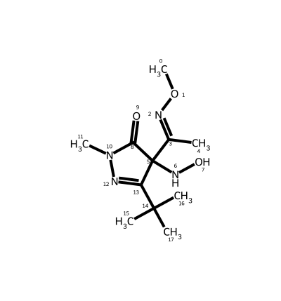 CON=C(C)C1(NO)C(=O)N(C)N=C1C(C)(C)C